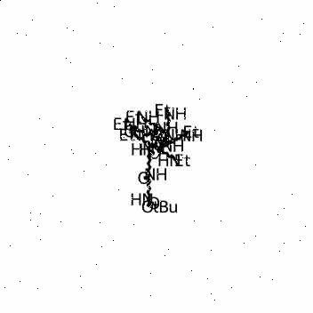 CCNCCCCC(NC(=O)CCCCCNC(=O)CCCCCNC(=O)OC(C)(C)C)C(=O)NC(CCCCNCC)C(=O)NC(CCCCNCC)C(=O)NC(CCCCNCC)C(=O)NC(CCCCNCC)C(=O)NCCCCCC(=O)NCC